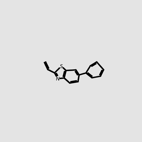 C=Cc1nc2ccc(-c3ccccc3)cc2s1